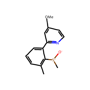 COc1ccnc(-c2cccc(C)c2[S+](C)[O-])c1